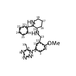 COc1ccc(-n2nnnc2C)cc1CNC1CCCNC1c1ccccc1